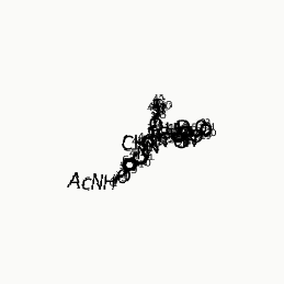 CC(=O)NCCOc1ccc2c(c1)CCN(c1nc3nc(O[C@@H]4CO[C@H]5[C@@H]4OC[C@H]5OC4CCCCO4)n(COCC[Si](C)(C)C)c3cc1Cl)C2